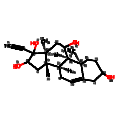 C#CC1(O)C(O)C[C@H]2[C@@H]3CC=C4CC(O)CC[C@]4(C)[C@@H]3C(O)C[C@@]21C